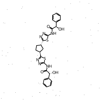 O=C(Nc1nnc([C@H]2CC[C@H](c3nnc(NC(=O)[C@H](O)c4ccccc4)s3)C2)s1)[C@H](O)c1ccccc1